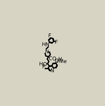 COc1ccc2ncc(CF)c(C(O)CCC3(C(=O)O)CCN(CCNc4cc(F)cc(F)c4)CC3)c2c1